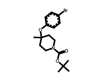 CC(C)(C)OC(=O)N1CCC(C)(Oc2ccc(Br)cc2)CC1